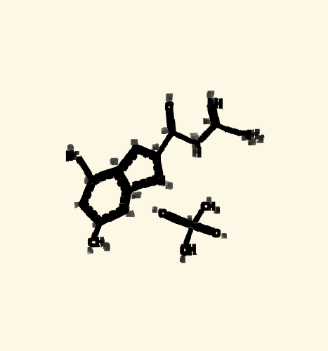 CS(=O)(=O)O.Cc1cc(Br)c2cc(C(=O)NC(=N)N)sc2c1